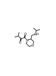 CC(C)NCC1COCCN1C(=O)C(=O)C(C)C